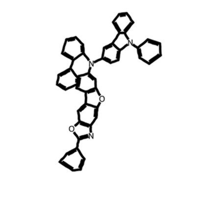 c1ccc(-c2nc3cc4oc5cc(N(c6ccc7c(c6)c6ccccc6n7-c6ccccc6)c6ccccc6-c6ccccc6)ccc5c4cc3o2)cc1